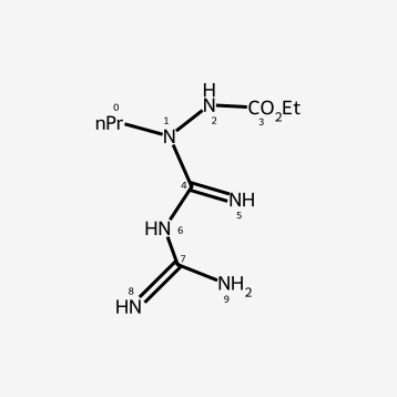 CCCN(NC(=O)OCC)C(=N)NC(=N)N